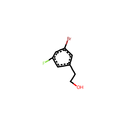 OCCc1cc(F)cc(Br)c1